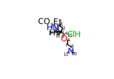 CCOC(=O)[C@@H]1C[C@]2(COCCCN(C)C)C[C@@H]2N1.Cl